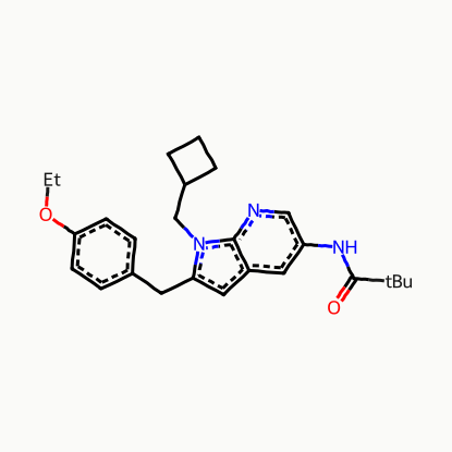 CCOc1ccc(Cc2cc3cc(NC(=O)C(C)(C)C)cnc3n2CC2CCC2)cc1